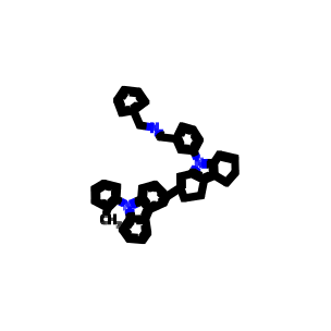 Cc1ccccc1-n1c2ccccc2c2cc(C3=Cc4c(c5c(n4-c4cccc(/C=N/Cc6ccccc6)c4)C=CCC5)CC3)ccc21